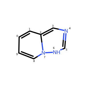 C1=CC2=CN=CNN2C=C1